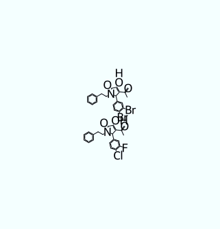 CC(=O)C1=C(O)C(=O)N(CCc2ccccc2)C1c1ccc(Br)c(Br)c1.CC(=O)C1=C(O)C(=O)N(CCc2ccccc2)C1c1ccc(Cl)c(F)c1